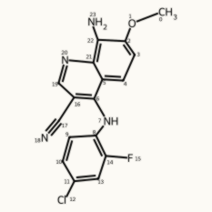 COc1ccc2c(Nc3ccc(Cl)cc3F)c(C#N)cnc2c1N